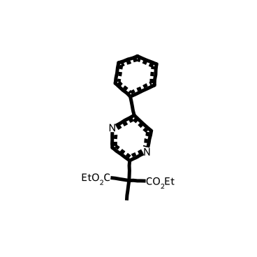 CCOC(=O)C(C)(C(=O)OCC)c1cnc(-c2ccccc2)cn1